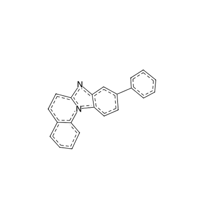 c1ccc(-c2ccc3c(c2)nc2ccc4ccccc4n23)cc1